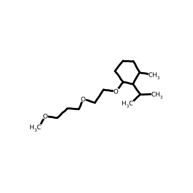 COCCCOCCOC1CCCC(C)C1C(C)C